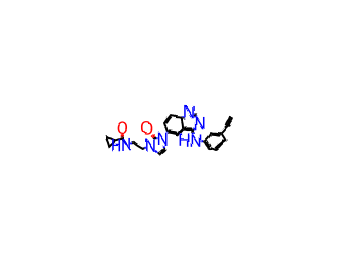 C#Cc1cccc(Nc2ncnc3ccc(-n4ccn(CCNC(=O)C5CC5)c4=O)cc23)c1